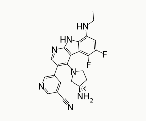 CCNc1cc(F)c(F)c2c1[nH]c1ncc(-c3cncc(C#N)c3)c(N3CC[C@@H](N)C3)c12